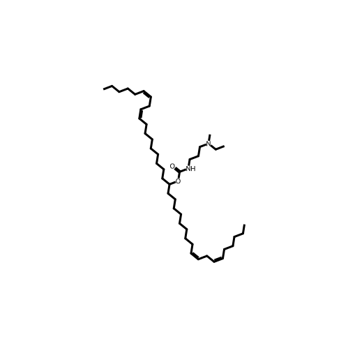 CCCCC/C=C\C/C=C\CCCCCCCCC(CCCCCCCC/C=C\C/C=C\CCCCC)OC(=O)NCCCN(C)CC